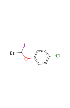 CCC(I)Oc1ccc(Cl)cc1